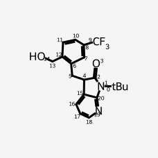 CC(C)(C)N1C(=O)C(Cc2cc(C(F)(F)F)ccc2CO)c2cccnc21